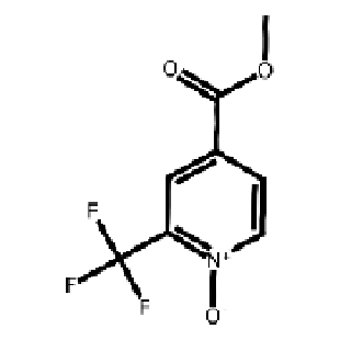 COC(=O)c1cc[n+]([O-])c(C(F)(F)F)c1